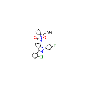 COC(=O)C1(NC(=O)c2ccc3c(-c4ccccc4Cl)nn(-c4ccc(F)cc4)c3c2)CCCC1